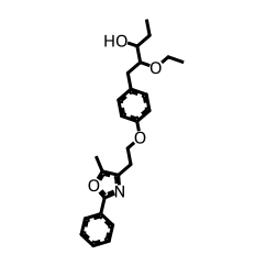 CCOC(Cc1ccc(OCCc2nc(-c3ccccc3)oc2C)cc1)C(O)CC